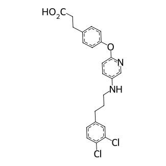 O=C(O)CCc1ccc(Oc2ccc(NCCCc3ccc(Cl)c(Cl)c3)cn2)cc1